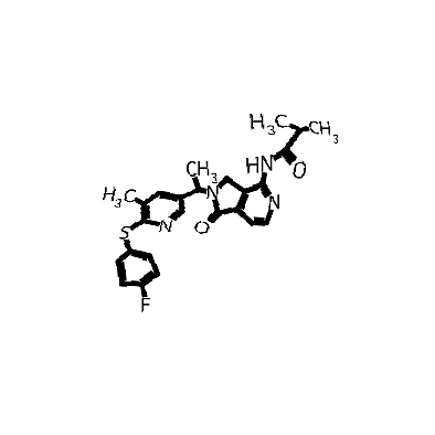 Cc1cc(C(C)N2Cc3c(ccnc3NC(=O)C(C)C)C2=O)cnc1Sc1ccc(F)cc1